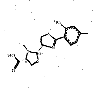 Cc1ccc(C2=NC([C@@H]3SC[C@H](C(=O)O)N3C)CS2)c(O)c1